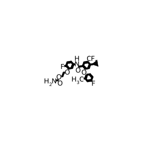 Cc1cc(F)ccc1Oc1cc(C2CC2)c(C(F)(F)F)cc1C(=O)Nc1ccc(F)c(OCCOC(N)=O)c1